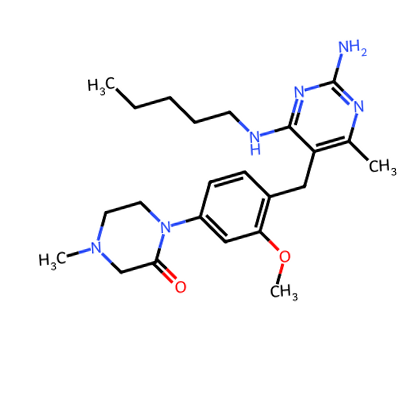 CCCCCNc1nc(N)nc(C)c1Cc1ccc(N2CCN(C)CC2=O)cc1OC